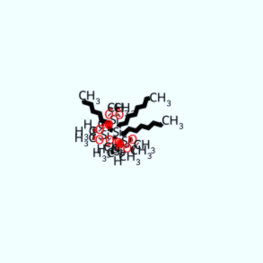 CCCCCCCC([Si](OC)(OC)OC)[Si](CO[SiH](C)C)(C(CCCCCCC)[Si](OC)(OC)OC)C(CCCCCCC)[Si](OC)(OC)OC